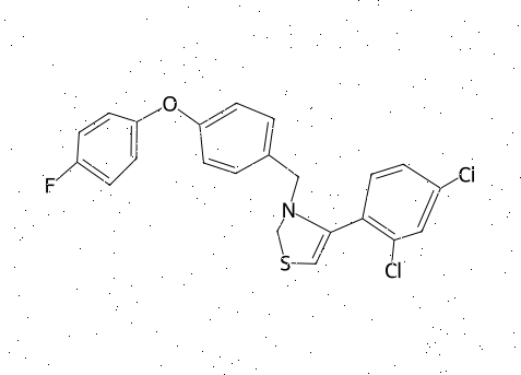 Fc1ccc(Oc2ccc(CN3CSC=C3c3ccc(Cl)cc3Cl)cc2)cc1